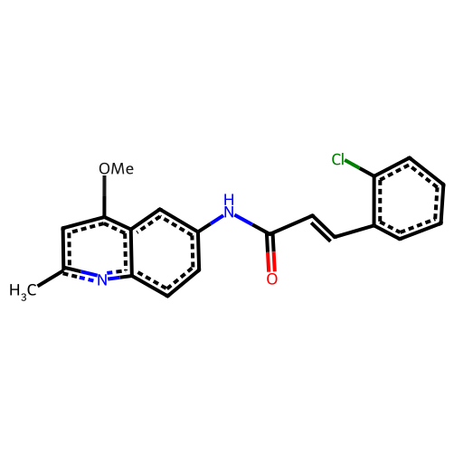 COc1cc(C)nc2ccc(NC(=O)C=Cc3ccccc3Cl)cc12